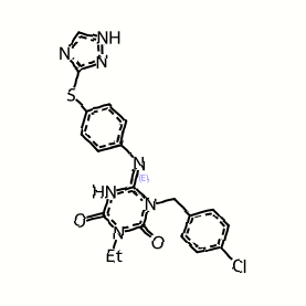 CCn1c(=O)[nH]/c(=N\c2ccc(Sc3nc[nH]n3)cc2)n(Cc2ccc(Cl)cc2)c1=O